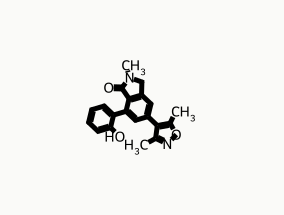 Cc1noc(C)c1-c1cc2c(c(-c3ccccc3O)c1)C(=O)N(C)C2